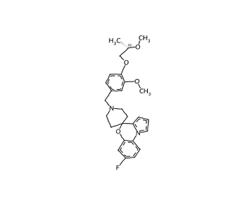 COc1cc(CN2CCC3(CC2)Oc2cc(F)ccc2-n2cccc23)ccc1OC[C@H](C)OC